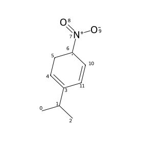 CC(C)C1=CC[C]([N+](=O)[O-])C=C1